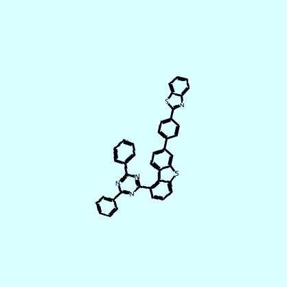 c1ccc(-c2nc(-c3ccccc3)nc(-c3cccc4sc5cc(-c6ccc(-c7nc8ccccc8s7)cc6)ccc5c34)n2)cc1